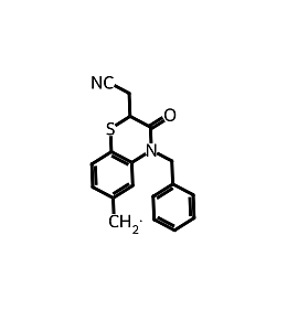 [CH2]c1ccc2c(c1)N(Cc1ccccc1)C(=O)C(CC#N)S2